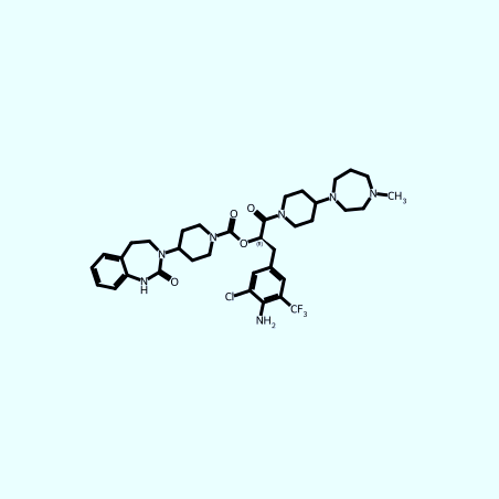 CN1CCCN(C2CCN(C(=O)[C@@H](Cc3cc(Cl)c(N)c(C(F)(F)F)c3)OC(=O)N3CCC(N4CCc5ccccc5NC4=O)CC3)CC2)CC1